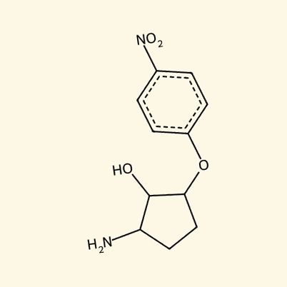 NC1CCC(Oc2ccc([N+](=O)[O-])cc2)C1O